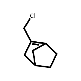 ClCC1=C2CCC(C1)C2